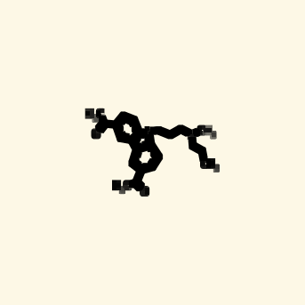 CCCN(C)CCCn1c2ccc(C(C)=O)cc2c2cc(C(C)=O)ccc21